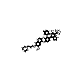 COc1cc2c(Oc3ccc(-c4c5c(c(C(N)=O)c(=O)n4-c4ccc(F)cc4)CCC5)cc3F)ccnc2cc1OCCCN1CCOCC1